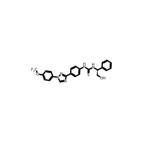 OC[C@@H](NC(=S)Nc1ccc(-c2ncn(-c3ccc(OC(F)(F)F)cc3)n2)cc1)c1ccccc1